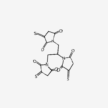 O=C1CC(=S)C(=O)N1CC(CN1C(=O)CC(=S)C1=O)N1C(=O)CC(=S)C1=O